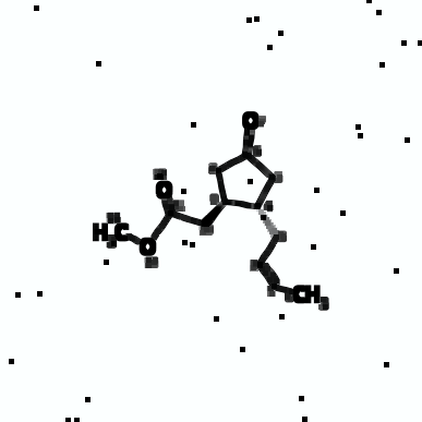 C/C=C\C[C@H]1CC(=O)C[C@@H]1CC(=O)OC